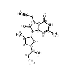 C#CCn1c(=O)n([C@@H]2O[C@H]([C@@H](O)CC)C[C@H]2C)c2nc(N)[nH]c(=O)c21